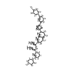 Cc1ccc(-c2cccc(C(=N)SC(=N)c3ccc4ccc(-c5nnc(-c6cccc(-c7ccc(C)cc7)n6)s5)nc4n3)n2)cc1